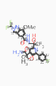 COc1cc(C(=O)NCC(O)(c2cc3c(c(-c4ccc(F)cc4)n2)OC[C@]3(C)C(N)=O)C(F)(F)F)cc2cn(C(F)F)nc12